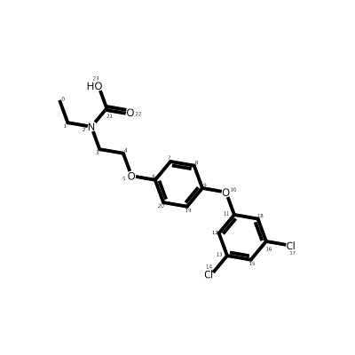 CCN(CCOc1ccc(Oc2cc(Cl)cc(Cl)c2)cc1)C(=O)O